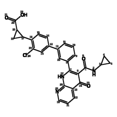 O=C(NC1CC1)c1c(-c2cccc(-c3ccc(C4CC4C(=O)O)c(Cl)c3)c2)[nH]c2ncccc2c1=O